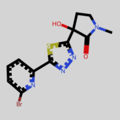 CN1CCC(O)(c2nnc(-c3cccc(Br)n3)s2)C1=O